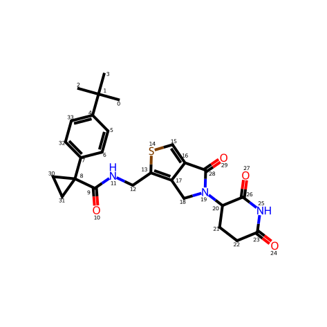 CC(C)(C)c1ccc(C2(C(=O)NCc3scc4c3CN(C3CCC(=O)NC3=O)C4=O)CC2)cc1